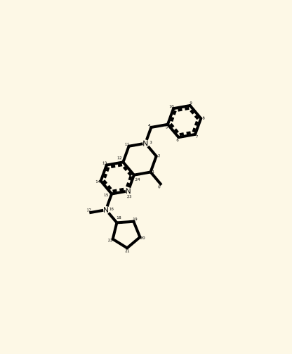 CC1CN(Cc2ccccc2)Cc2ccc(N(C)C3CCCC3)nc21